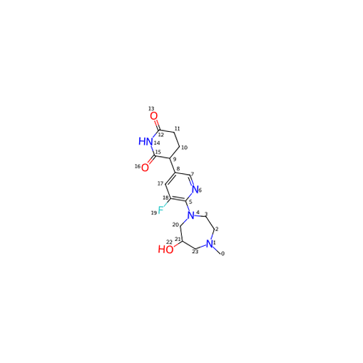 CN1CCN(c2ncc(C3CCC(=O)NC3=O)cc2F)CC(O)C1